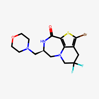 O=C1N[C@H](CN2CCOCC2)CN2CC(F)(F)Cc3c(Br)sc1c32